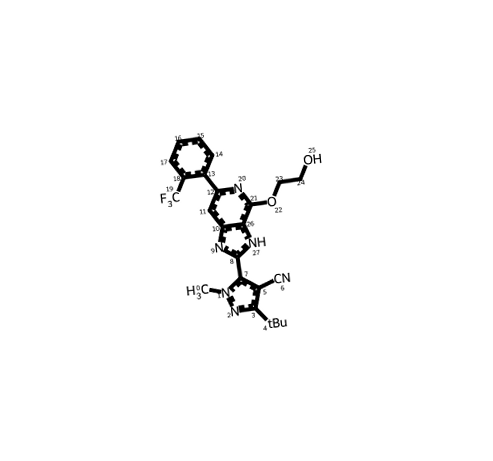 Cn1nc(C(C)(C)C)c(C#N)c1-c1nc2cc(-c3ccccc3C(F)(F)F)nc(OCCO)c2[nH]1